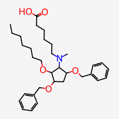 CCCCCCCOC1C(OCc2ccccc2)CC(OCc2ccccc2)C1N(C)CCCCCC(=O)O